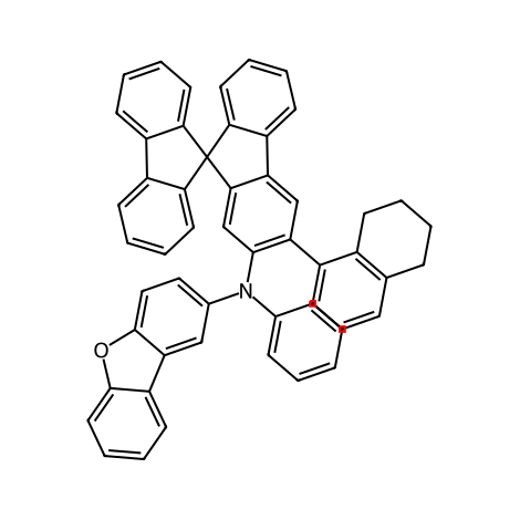 c1ccc(N(c2ccc3oc4ccccc4c3c2)c2cc3c(cc2-c2cccc4c2CCCC4)-c2ccccc2C32c3ccccc3-c3ccccc32)cc1